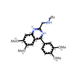 CCC(C)NCc1nc(-c2ccc(OC)c(OC)c2)c2cc(OC)c(OC)cc2n1